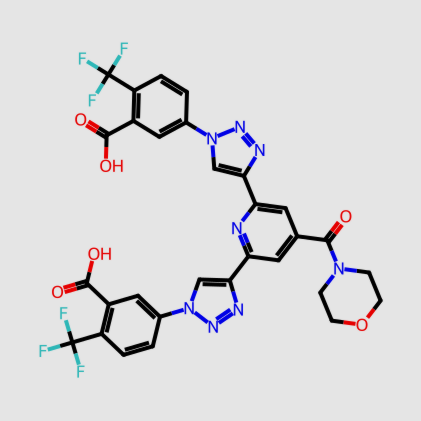 O=C(O)c1cc(-n2cc(-c3cc(C(=O)N4CCOCC4)cc(-c4cn(-c5ccc(C(F)(F)F)c(C(=O)O)c5)nn4)n3)nn2)ccc1C(F)(F)F